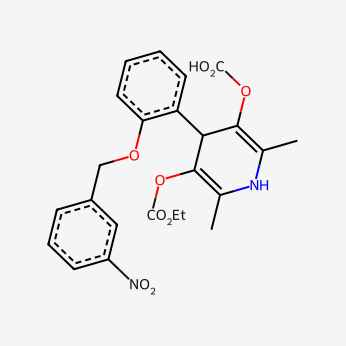 CCOC(=O)OC1=C(C)NC(C)=C(OC(=O)O)C1c1ccccc1OCc1cccc([N+](=O)[O-])c1